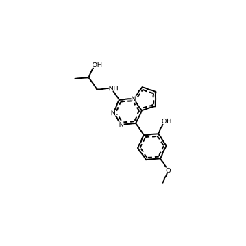 COc1ccc(-c2nnc(NCC(C)O)n3cccc23)c(O)c1